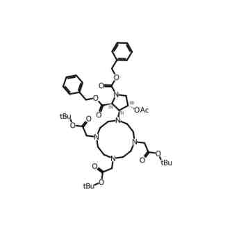 CC(=O)O[C@H]1CN(C(=O)OCc2ccccc2)[C@H](C(=O)OCc2ccccc2)[C@@H]1N1CCN(CC(=O)OC(C)(C)C)CCN(CC(=O)OC(C)(C)C)CCN(CC(=O)OC(C)(C)C)CC1